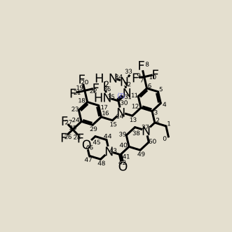 CCC(c1ccc(C(F)(F)F)cc1CN(Cc1cc(C(F)(F)F)cc(C(F)(F)F)c1)/C(=N/N(C)N)NI)N1CCC(C(=O)N2CCOCC2)CC1